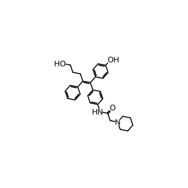 O=C(CN1CCCCC1)Nc1ccc(/C(=C(/CCCO)c2ccccc2)c2ccc(O)cc2)cc1